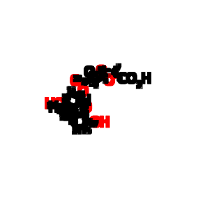 CC(=O)O[C@@H](CC(=O)O[C@@H](C)C(=O)O)C(=O)OC1=CC[C@@]2(O)[C@@H]3CCC[C@@]24c2c(ccc(O)c2O[C@@H]14)C3